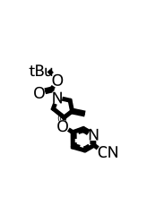 C=C1CN(C(=O)OC(C)(C)C)C[C@@H]1Oc1ccc(C#N)nc1